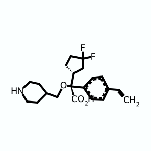 C=Cc1ccc([C@@](OCC2CCNCC2)(C(=O)O)[C@@H]2CCC(F)(F)C2)cc1